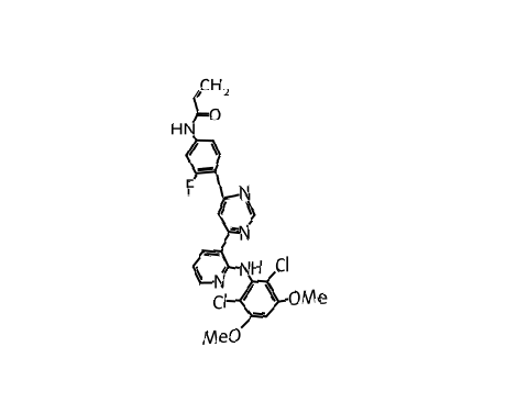 C=CC(=O)Nc1ccc(-c2cc(-c3cccnc3Nc3c(Cl)c(OC)cc(OC)c3Cl)ncn2)c(F)c1